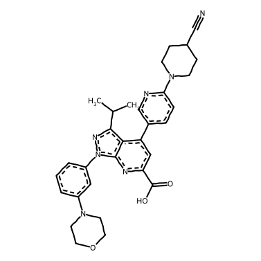 CC(C)c1nn(-c2cccc(N3CCOCC3)c2)c2nc(C(=O)O)cc(-c3ccc(N4CCC(C#N)CC4)nc3)c12